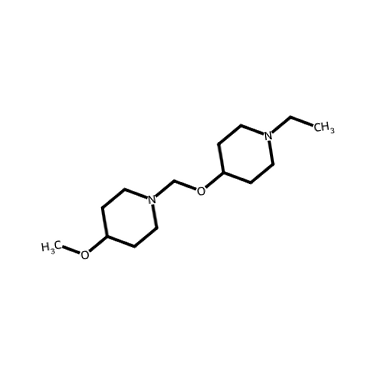 CCN1CCC(OCN2CCC(OC)CC2)CC1